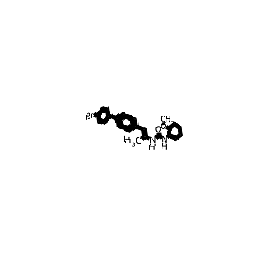 COC1CCCCC1NC(=O)NC(C)Cc1ccc(-c2ccc(Br)cc2)cc1